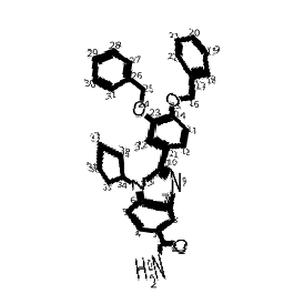 NC(=O)c1ccc2c(c1)nc(-c1ccc(OCc3ccccc3)c(OCc3ccccc3)c1)n2C1CCCC1